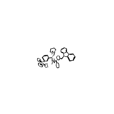 CN(C(=O)OCC1c2ccccc2-c2ccccc21)[C@H](CN1CCCC1)c1cccc(S(=O)(=O)Cl)c1